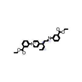 C\C=C/C(=C\C=N\c1cccc(C(=O)OCC)c1)c1cc[n+](-c2cccc(C(=O)OCC)c2)cc1